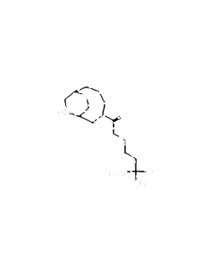 CC(C)(C)CCCCC(=O)C1CCCC2CNC(CO2)C1